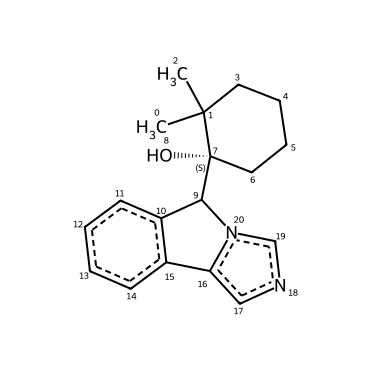 CC1(C)CCCC[C@@]1(O)C1c2ccccc2-c2cncn21